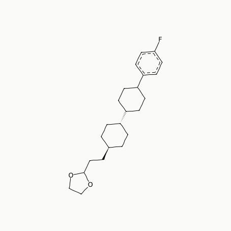 Fc1ccc(C2CCC([C@H]3CC[C@H](CCC4OCCO4)CC3)CC2)cc1